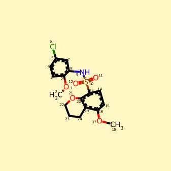 COc1ccc(Cl)cc1NS(=O)(=O)c1ccc(OC)c2c1OCCC2